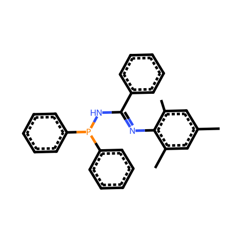 Cc1cc(C)c(/N=C(/NP(c2ccccc2)c2ccccc2)c2ccccc2)c(C)c1